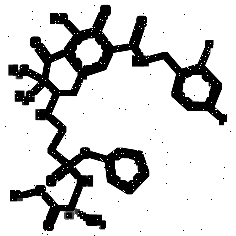 CC(C)OC(=O)[C@@H](C)NP(=O)(CCNC1Cn2cc(C(=O)NCc3ccc(F)cc3F)c(=O)c(O)c2C(=O)C1(C)C)Oc1ccccc1